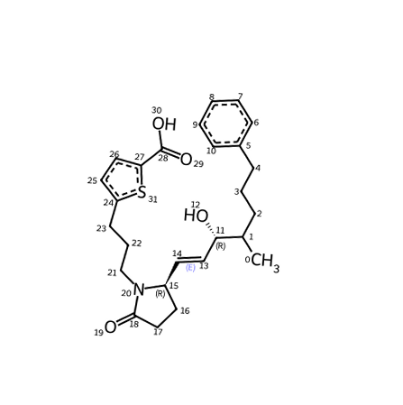 CC(CCCc1ccccc1)[C@@H](O)/C=C/[C@H]1CCC(=O)N1CCCc1ccc(C(=O)O)s1